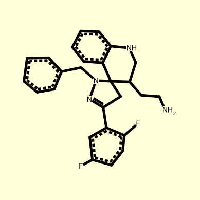 NCCC1CNc2ccccc2C12CC(c1cc(F)ccc1F)=NN2Cc1ccccc1